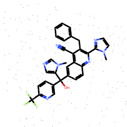 Cn1cncc1C(O)(c1ccc(C(F)(F)F)nc1)c1ccc2nc(-c3nccn3C)c(Cc3ccccc3)c(C#N)c2c1